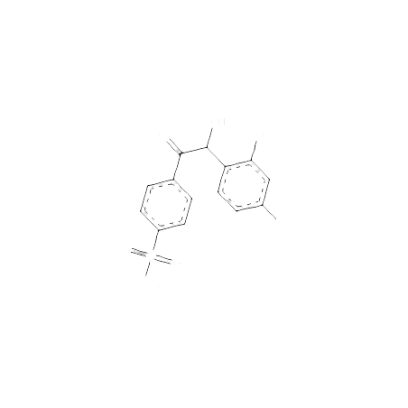 CC(C(=O)c1ccc(S(C)(=O)=O)cc1)c1ccc(Cl)cc1Cl